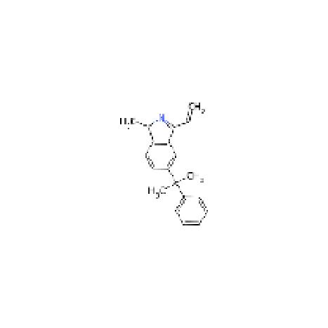 C=CC1=NC(C)c2ccc(C(C)(C)c3ccccc3)cc21